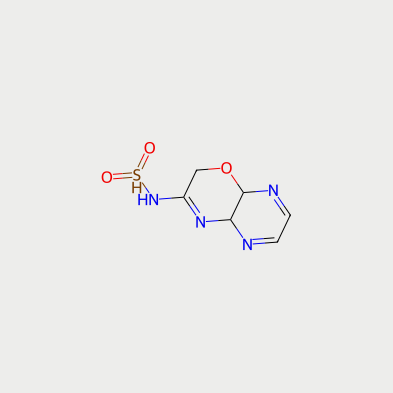 O=[SH](=O)NC1=NC2N=CC=NC2OC1